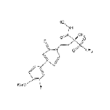 COc1ccc(-c2ccn(CC[C@](C)(C(=O)NO)S(C)(=O)=O)c(=O)c2)cc1F